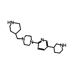 c1cc(N2CCN(CC3CCNCC3)CC2)ncc1C1CCCNC1